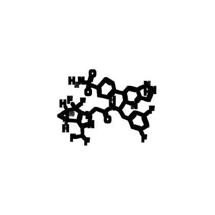 NS(=O)(=O)c1ccc(-c2cc3[nH]ncc3nc2C(Cc2cc(F)cc(F)c2)NC(=O)Cn2nc(C(F)F)c3c2C(F)(F)[C@@H]2C[C@H]32)cc1